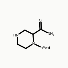 CCCCCN1CCNCC1C(N)=O